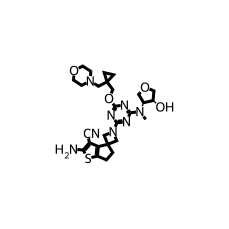 CN(c1nc(OCC2(CN3CCOCC3)CC2)nc(N2CC3(CCc4sc(N)c(C#N)c43)C2)n1)[C@@H]1COC[C@@H]1O